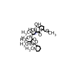 COC[C@@H]1CC[C@@H](CO)N1C(=O)/C(C)=C/[C@H](C(C)C)N(C)C(=O)[C@@H](NC(=O)[C@H]1CCCCN1C)C(C)C